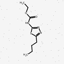 CCCCc1nnc(NC(=O)OCC)s1